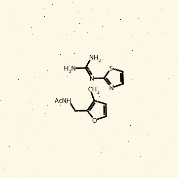 CC(=O)NCc1occc1C.NC(N)=Nc1nccs1